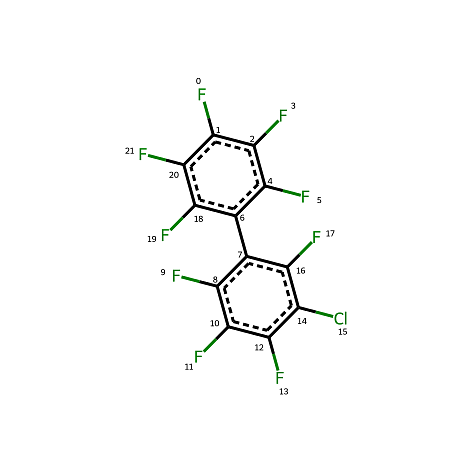 Fc1c(F)c(F)c(-c2c(F)c(F)c(F)c(Cl)c2F)c(F)c1F